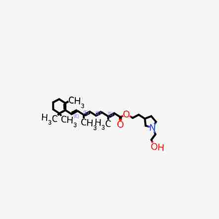 CC1=C(/C=C/C(C)=C/C=C/C(C)=C/C(=O)OCCC2CCN(CCO)C2)C(C)(C)CCC1